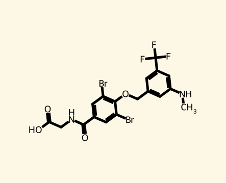 CNc1cc(COc2c(Br)cc(C(=O)NCC(=O)O)cc2Br)cc(C(F)(F)F)c1